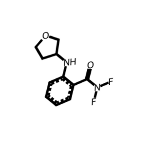 O=C(c1ccccc1NC1CCOC1)N(F)F